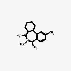 Cc1ccc2c(c1)C1CCCCC1[C@H](C)N(C)C2C